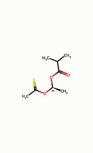 CC(=S)O[C@H](C)OC(=O)C(C)C